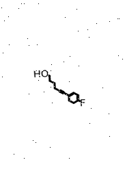 OCCCCC#CC1=CC=C(F)CC1